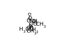 CCOC(=O)[C@@H]1CN(C(=O)OC(C)(C)C)CC[C@H]1NC(=O)OCc1ccccc1